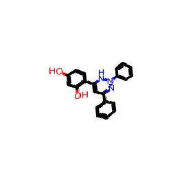 Oc1ccc(C2=CC(c3ccccc3)=NN(c3ccccc3)N2)c(O)c1